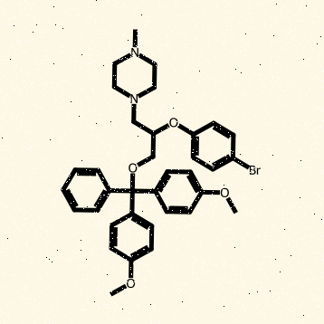 COc1ccc(C(OCC(CN2CCN(C)CC2)Oc2ccc(Br)cc2)(c2ccccc2)c2ccc(OC)cc2)cc1